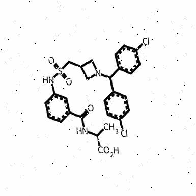 C[C@H](NC(=O)c1cccc(NS(=O)(=O)CC2CN(C(c3ccc(Cl)cc3)c3ccc(Cl)cc3)C2)c1)C(=O)O